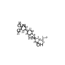 CCC(C)C1CC(NCc2ccc(-c3cnc(OC)c(OC)c3)cc2)CC1O